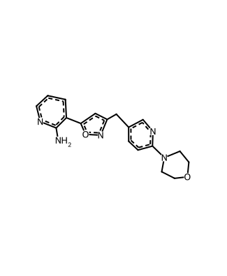 Nc1ncccc1-c1cc(Cc2ccc(N3CCOCC3)nc2)no1